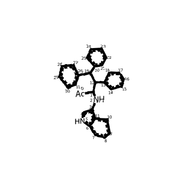 CC(=O)C(Nc1c[nH]c2ccccc12)C(c1ccccc1)C(c1ccccc1)c1ccccc1